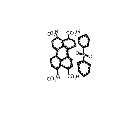 O=C(O)c1ccc2c3ccc(C(=O)O)c4c(C(=O)O)ccc(c5ccc(C(=O)O)c1c25)c43.O=S(=O)(c1ccccc1)c1ccccc1